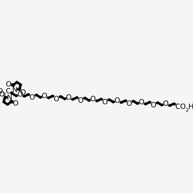 O=C(O)CCOCCOCCOCCOCCOCCOCCOCCOCCOCCOCCOCCOCCOCC(C(=O)O)(N1C(=O)CCC1=O)N1C(=O)CCC1=O